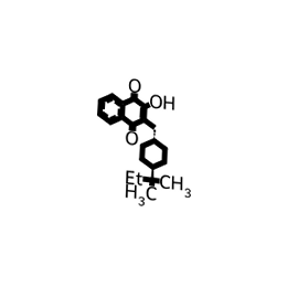 CCC(C)(C)[C@H]1CC[C@H](CC2=C(O)C(=O)c3ccccc3C2=O)CC1